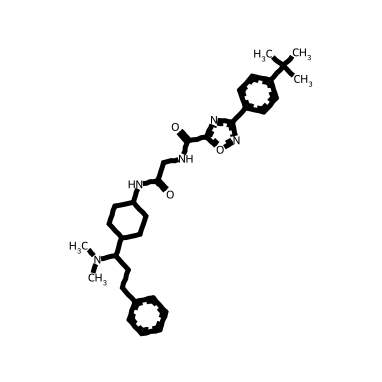 CN(C)C(CCc1ccccc1)C1CCC(NC(=O)CNC(=O)c2nc(-c3ccc(C(C)(C)C)cc3)no2)CC1